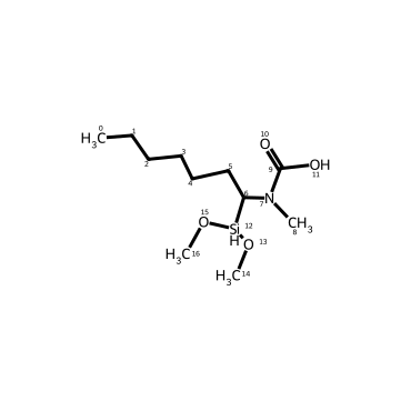 CCCCCCC(N(C)C(=O)O)[SiH](OC)OC